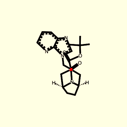 CC(C)(C)OC(=O)N1C[C@H]2CC[C@@H](C1)N2C(=O)Cn1cnc2cccnc21